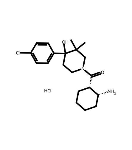 CC1(C)CN(C(=O)[C@H]2CCCC[C@H]2N)CCC1(O)c1ccc(Cl)cc1.Cl